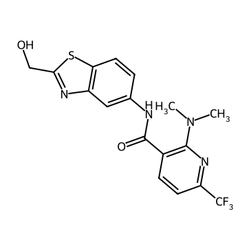 CN(C)c1nc(C(F)(F)F)ccc1C(=O)Nc1ccc2sc(CO)nc2c1